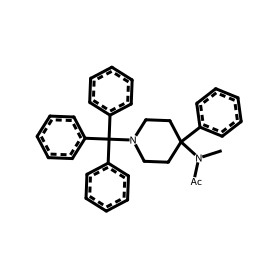 CC(=O)N(C)C1(c2ccccc2)CCN(C(c2ccccc2)(c2ccccc2)c2ccccc2)CC1